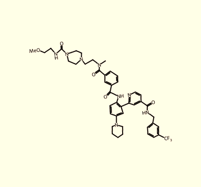 COCCNC(=O)N1CCN(CCN(C)C(=O)c2cccc(C(=O)Nc3ccc(N4CCCCC4)cc3-c3cc(C(=O)NCc4cccc(C(F)(F)F)c4)ccn3)c2)CC1